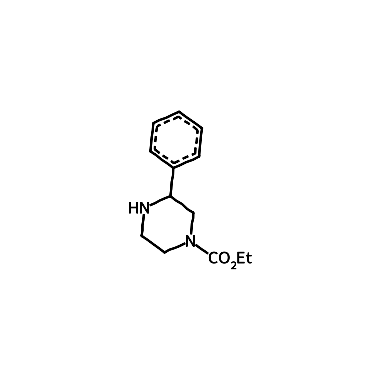 CCOC(=O)N1CCNC(c2ccccc2)C1